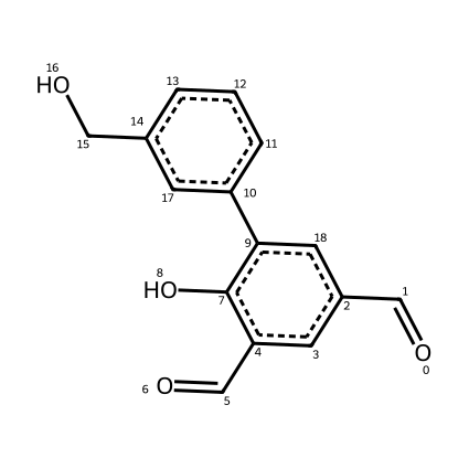 O=Cc1cc(C=O)c(O)c(-c2cccc(CO)c2)c1